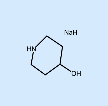 OC1CCNCC1.[NaH]